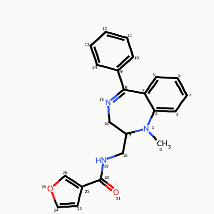 CN1c2ccccc2C(c2ccccc2)=NCC1CNC(=O)c1ccoc1